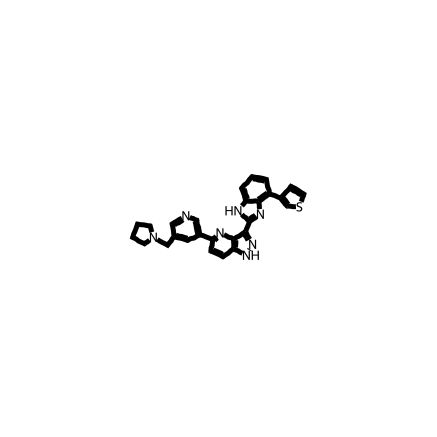 c1cc(-c2ccsc2)c2nc(-c3n[nH]c4ccc(-c5cncc(CN6CCCC6)c5)nc34)[nH]c2c1